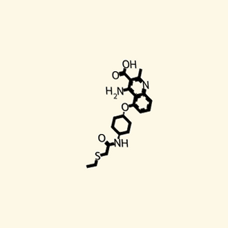 CCSCC(=O)N[C@H]1CC[C@H](Oc2cccc3nc(C)c(C(=O)O)c(N)c23)CC1